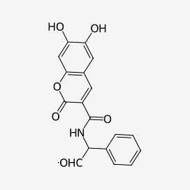 O=[C]C(NC(=O)c1cc2cc(O)c(O)cc2oc1=O)c1ccccc1